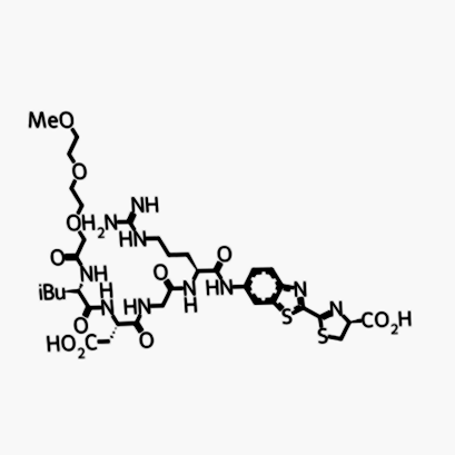 CC[C@H](C)[C@H](NC(=O)COCCOCCOC)C(=O)N[C@@H](CC(=O)O)C(=O)NCC(=O)N[C@@H](CCCNC(=N)N)C(=O)Nc1ccc2nc(C3=N[C@@H](C(=O)O)CS3)sc2c1